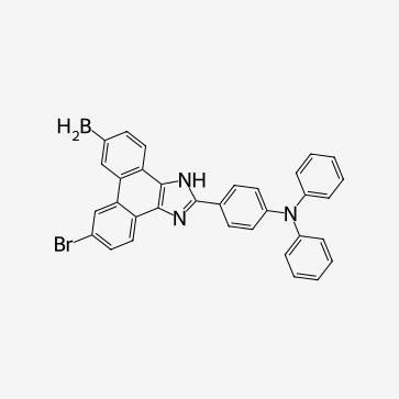 Bc1ccc2c(c1)c1cc(Br)ccc1c1nc(-c3ccc(N(c4ccccc4)c4ccccc4)cc3)[nH]c21